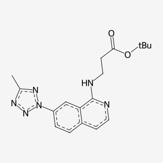 Cc1nnn(-c2ccc3ccnc(NCCC(=O)OC(C)(C)C)c3c2)n1